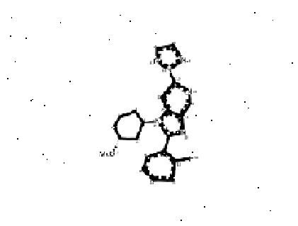 CO[C@@H]1CCC[C@@H](n2c(-c3ccccc3F)nc3cnc(-n4nccn4)cc32)C1